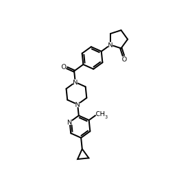 Cc1cc(C2CC2)cnc1N1CCN(C(=O)c2ccc(N3CCCC3=O)cc2)CC1